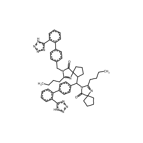 CCCCC1=NC2(CCCC2C(c2ccc(-c3ccccc3-c3nnn[nH]3)cc2)N2C(=O)C3(CCCC3)N=C2CCCC)C(=O)N1Cc1ccc(-c2ccccc2-c2nnn[nH]2)cc1